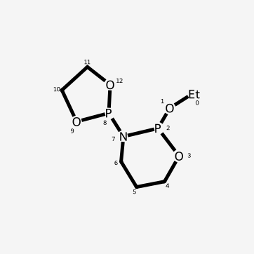 CCOP1OCCCN1P1OCCO1